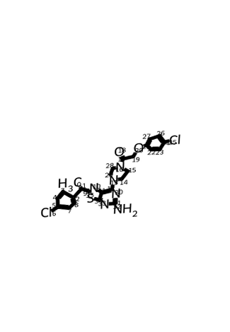 CC(c1ccc(Cl)cc1)c1nc2c(N3CCN(C(=O)COc4ccc(Cl)cc4)CC3)nc(N)nc2s1